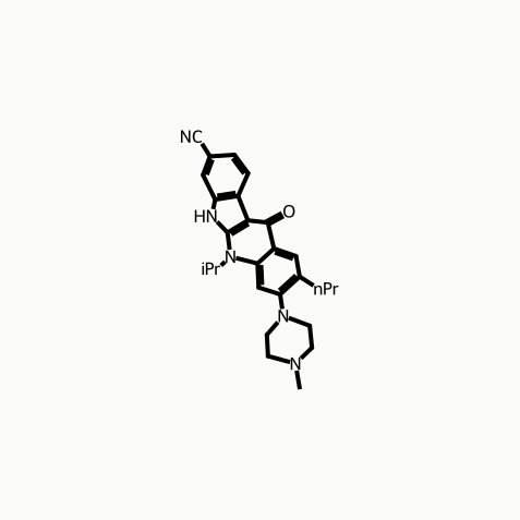 CCCc1cc2c(=O)c3c4ccc(C#N)cc4[nH]c3n(C(C)C)c2cc1N1CCN(C)CC1